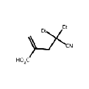 C=C(CC(C#N)(CC)CC)C(=O)O